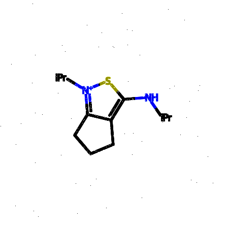 CC(C)Nc1s[n+](C(C)C)c2c1CCC2